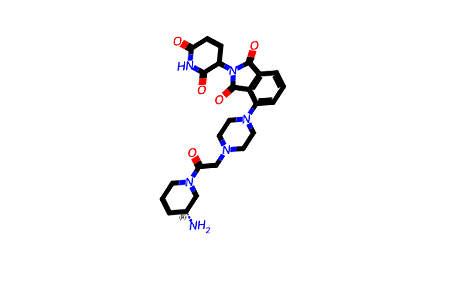 N[C@@H]1CCCN(C(=O)CN2CCN(c3cccc4c3C(=O)N(C3CCC(=O)NC3=O)C4=O)CC2)C1